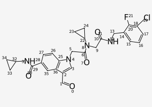 O=Cc1cn(CC(=O)N(CC(=O)NCc2cccc(Cl)c2F)C2CC2)c2ccc(C(=O)NC3CC3)cc12